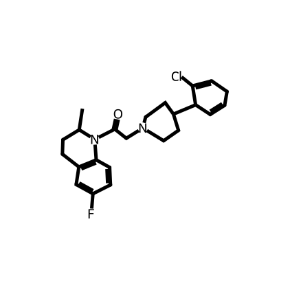 CC1CCc2cc(F)ccc2N1C(=O)CN1CCC(C2C=CCC=C2Cl)CC1